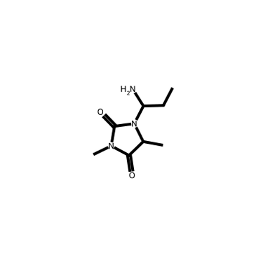 CCC(N)N1C(=O)N(C)C(=O)C1C